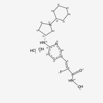 Cl.Cl.O=C(NO)C(F)=Cc1ccc(N[C@@H]2CCN(C3CCCCC3)C2)nc1